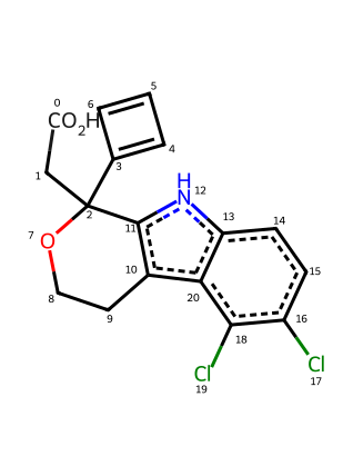 O=C(O)CC1(C2=CC=C2)OCCc2c1[nH]c1ccc(Cl)c(Cl)c21